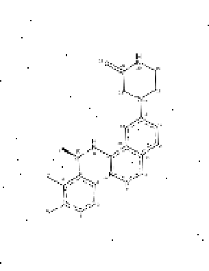 Cc1cccc([C@@H](C)Nc2nncc3ccc(N4CCNC(=O)C4)cc23)c1C